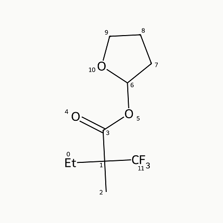 CCC(C)(C(=O)OC1CCCO1)C(F)(F)F